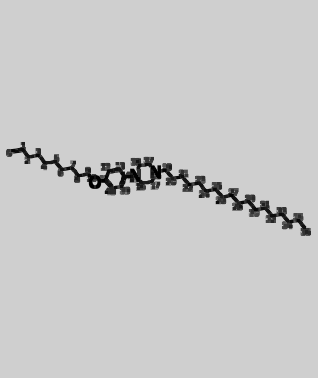 C=CCCCCCCCCOc1ccc(N2CCN(CCCCCCCCCCCCCCCCCC)CC2)cc1